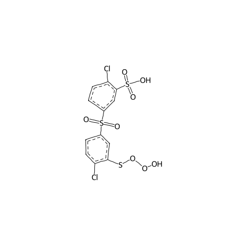 O=S(=O)(O)c1cc(S(=O)(=O)c2ccc(Cl)c(SOOO)c2)ccc1Cl